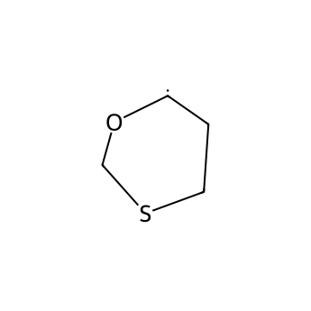 [CH]1CCSCO1